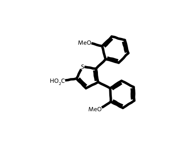 COc1ccccc1-c1cc(C(=O)O)sc1-c1ccccc1OC